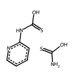 NC(O)=S.OC(=S)Nc1ccccn1